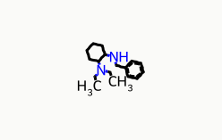 CCN(CC)C1CCCCC1NCc1ccccc1